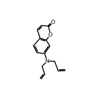 C=CCN(CC=C)c1ccc2ccc(=O)oc2c1